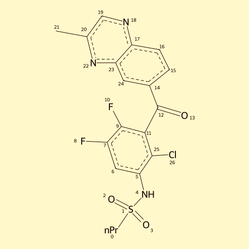 CCCS(=O)(=O)Nc1cc(F)c(F)c(C(=O)c2ccc3ncc(C)nc3c2)c1Cl